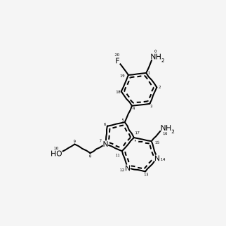 Nc1ccc(-c2cn(CCO)c3ncnc(N)c23)cc1F